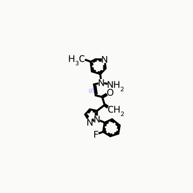 C=C(C(=O)/C=C\N(N)c1cncc(C)c1)c1ccnn1-c1ccccc1F